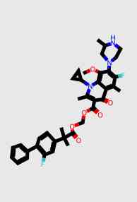 COc1c(N2CCNC(C)C2)c(F)c(C)c2c(=O)c(C(=O)OCOC(=O)C(C)(C)c3ccc(-c4ccccc4)c(F)c3)c(C)n(C3CC3)c12